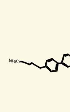 COCCC[CH]c1ccc(-c2ccccc2)cc1